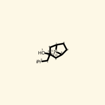 CC(C)CC1(O)CC2CCC(C1)N2C(C)(C)C